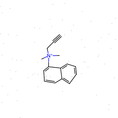 C#CC[N+](C)(C)c1cccc2ccccc12